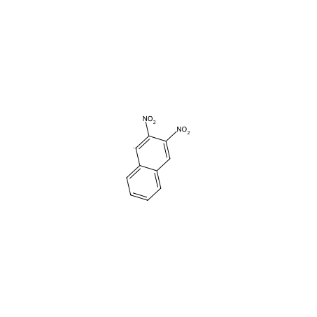 O=[N+]([O-])c1[c]c2ccccc2cc1[N+](=O)[O-]